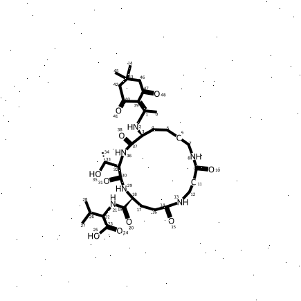 CC(N[C@H]1CCCCNC(=O)CCNC(=O)CC[C@@H](C(=O)NC(C(=O)O)C(C)C)NC(=O)C([C@@H](C)O)NC1=O)=C1C(=O)CC(C)(C)CC1=O